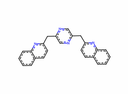 c1ccc2nc(Cc3cnc(Cc4ccc5ccccc5n4)cn3)ccc2c1